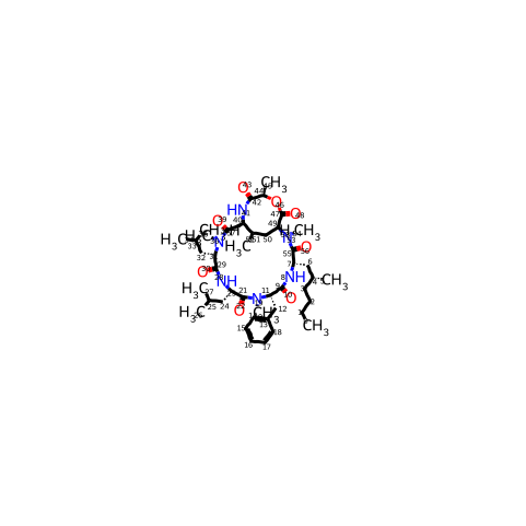 CCCC[C@@H](C)C[C@@H]1NC(=O)[C@H](Cc2ccccc2)N(C)C(=O)[C@H](CC(C)C)NC(=O)[C@H](CC(C)C)N(C)C(=O)[C@H]2NC(=O)[C@@H](C)OC(=O)[C@H](CC2C)N(C)C1=O